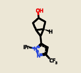 CC(C)n1nc(C(F)(F)F)cc1C1C2CC(O)C[C@H]21